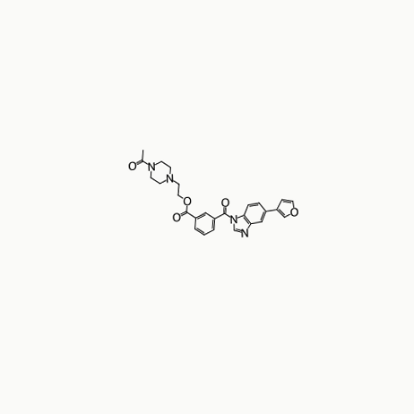 CC(=O)N1CCN(CCOC(=O)c2cccc(C(=O)n3cnc4cc(-c5ccoc5)ccc43)c2)CC1